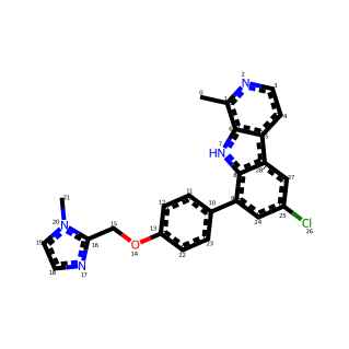 Cc1nccc2c1[nH]c1c(-c3ccc(OCc4nccn4C)cc3)cc(Cl)cc12